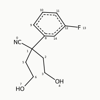 N#CC(CCO)(CCO)c1cccc(F)c1